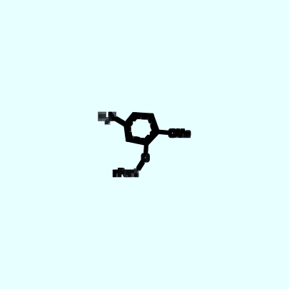 CCCCCOc1cc(N)ccc1OC